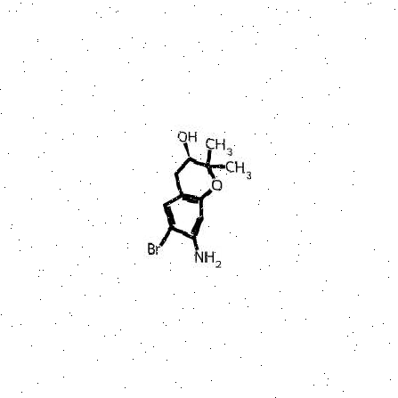 CC1(C)Oc2cc(N)c(Br)cc2C[C@H]1O